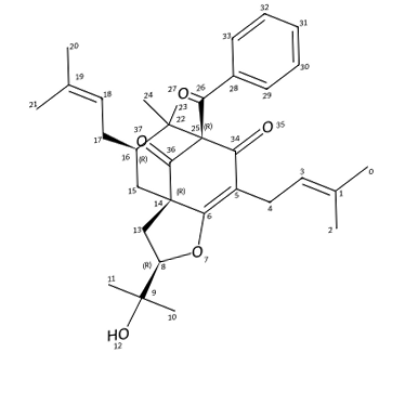 CC(C)=CCC1=C2O[C@@H](C(C)(C)O)C[C@]23C[C@@H](CC=C(C)C)C(C)(C)[C@](C(=O)c2ccccc2)(C1=O)C3=O